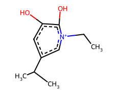 CC[n+]1cc(C(C)C)cc(O)c1O